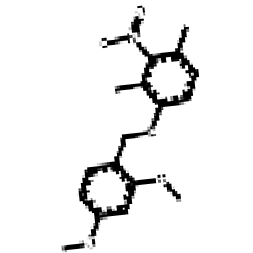 COc1ccc(COc2ccc(C)c([N+](=O)[O-])c2C)c(OC)c1